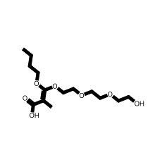 CCCCOC(OCCOCCOCCO)=C(C)C(=O)O